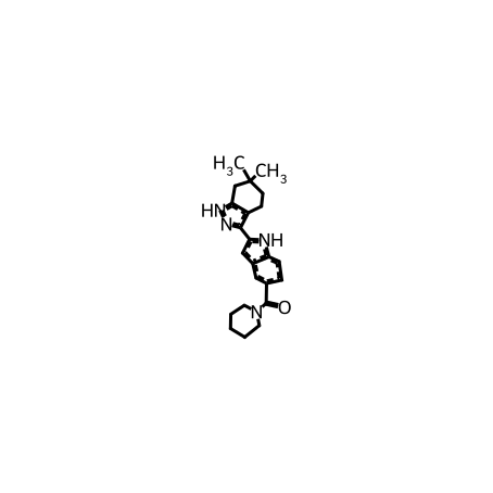 CC1(C)CCc2c(-c3cc4cc(C(=O)N5CCCCC5)ccc4[nH]3)n[nH]c2C1